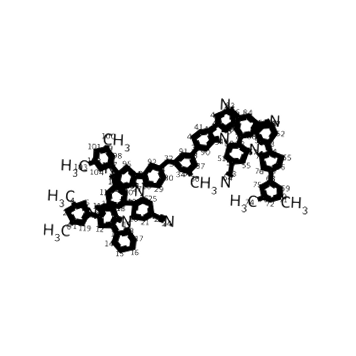 Cc1cc(C)cc(-c2ccc3c(c2)c2ccccc2n3-c2cc(C#N)cc(-n3c4ccc(Cc5cc(C)cc(-c6ccc7c8ccccc8n(-c8cc(C#N)cc(-n9c%10ccccc%10c%10ccc(-c%11cc(C)cc(C)c%11)cc%109)c8-c8cc(C#N)cc(C#N)c8)c7c6)c5)cc4c4cc(-c5cc(C)cc(C)c5)ccc43)c2-c2cc(C#N)cc(C#N)c2)c1